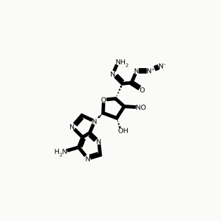 [N-]=[N+]=NC(=O)C(=NN)[C@H]1O[C@@H](n2cnc3c(N)ncnc32)[C@@H](O)C1N=O